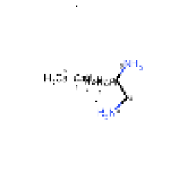 NCCN.[CaH2].[CaH2].[NaH].[NaH]